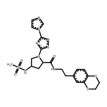 CS(=O)(=O)NC1CC(C(=O)NCCc2ccc3c(c2)OCCO3)N(c2nc(-n3ccnc3)ns2)C1